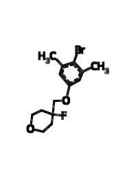 Cc1cc(OCC2(F)CCOCC2)cc(C)c1Br